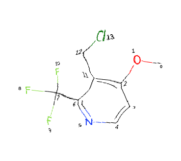 COc1ccnc(C(F)(F)F)c1CCl